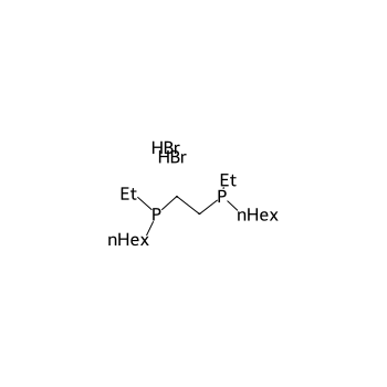 Br.Br.CCCCCCP(CC)CCP(CC)CCCCCC